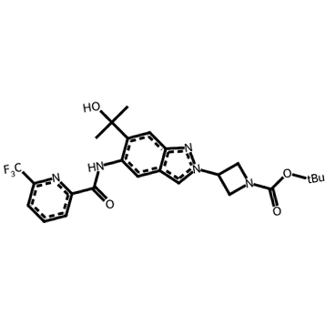 CC(C)(C)OC(=O)N1CC(n2cc3cc(NC(=O)c4cccc(C(F)(F)F)n4)c(C(C)(C)O)cc3n2)C1